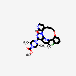 Cc1cc2c(N3C[C@H](C)N(C(=O)OC(C)(C)C)C[C@@H]3C)nc(=O)n3c2nc1-c1c(F)cccc1OC/C=C\c1ccnc(C(C)C)c1-3